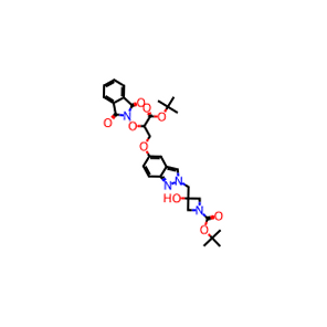 CC(C)(C)OC(=O)C(COc1ccc2nn(CC3(O)CN(C(=O)OC(C)(C)C)C3)cc2c1)ON1C(=O)c2ccccc2C1=O